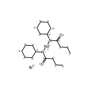 CCCC(=O)[N]([Nd+][N](C(=O)CCC)C1CCCCC1)C1CCCCC1.[Br-]